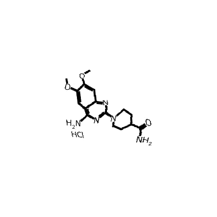 COc1cc2nc(N3CCC(C(N)=O)CC3)nc(N)c2cc1OC.Cl